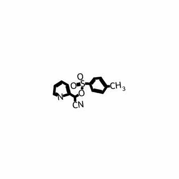 Cc1ccc(S(=O)(=O)OC(C#N)c2ccccn2)cc1